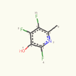 Cc1nc(F)c(O)c(F)c1F